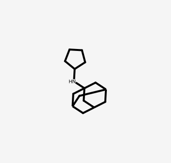 C1CCC(NC23CC4CC(CC(C4)C2)C3)C1